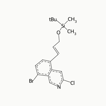 CC(C)(C)[Si](C)(C)OCC=Cc1ccc(Br)c2cnc(Cl)cc12